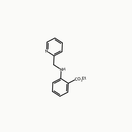 CCOC(=O)c1ccccc1NCc1ccccn1